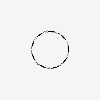 C1=CCCC=CCCC=CCCC=CCCC=CCCC=CCCC=CCCC=CCCC=CCC1